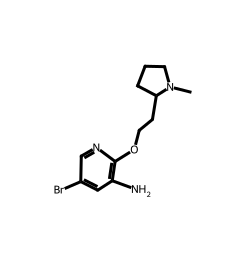 CN1CCCC1CCOc1ncc(Br)cc1N